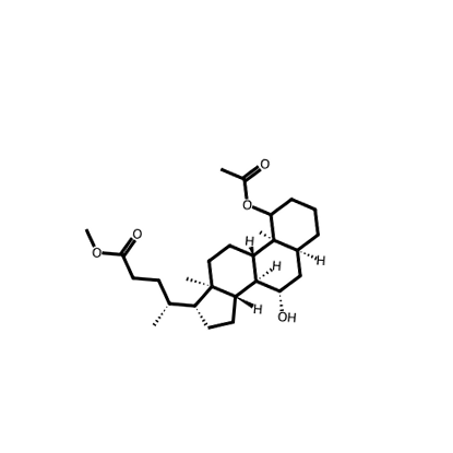 COC(=O)CC[C@@H](C)[C@H]1CC[C@H]2[C@@H]3[C@@H](O)C[C@@H]4CCCC(OC(C)=O)[C@]4(C)[C@H]3CC[C@]12C